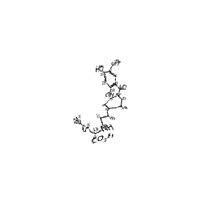 CC(C)c1cc(C(=O)N2CCC(CCN[C@@H](COC(C)(C)C)C(=O)O)CC2)c(O)cc1O